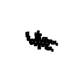 COc1cc(OC)c2nc(Nc3nc(OC(=O)C(F)(F)F)c4cc(OCCCl)ccc4n3)nc(C)c2c1